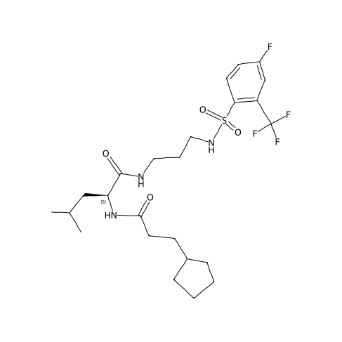 CC(C)C[C@H](NC(=O)CCC1CCCC1)C(=O)NCCCNS(=O)(=O)c1ccc(F)cc1C(F)(F)F